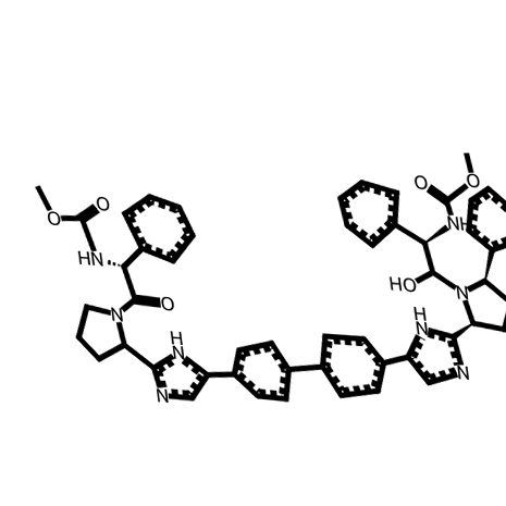 COC(=O)N[C@H](c1ccccc1)C(O)N1[C@@H](c2ccccc2)CC[C@H]1c1ncc(-c2ccc(-c3ccc(-c4cnc(C5CCCN5C(=O)[C@H](NC(=O)OC)c5ccccc5)[nH]4)cc3)cc2)[nH]1